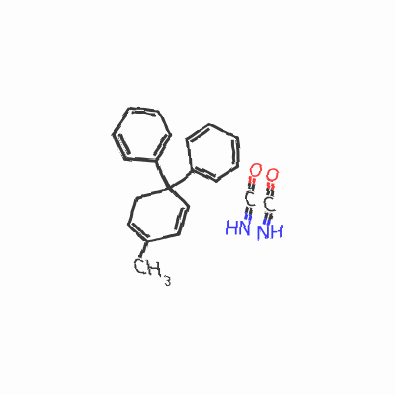 CC1=CCC(c2ccccc2)(c2ccccc2)C=C1.N=C=O.N=C=O